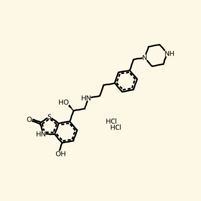 Cl.Cl.O=c1[nH]c2c(O)ccc([C@@H](O)CNCCc3cccc(CN4CCNCC4)c3)c2s1